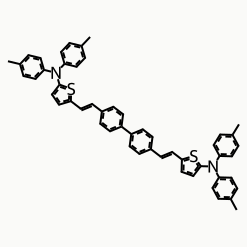 Cc1ccc(N(c2ccc(C)cc2)c2ccc(/C=C/c3ccc(-c4ccc(/C=C/c5ccc(N(c6ccc(C)cc6)c6ccc(C)cc6)s5)cc4)cc3)s2)cc1